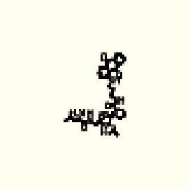 CC(C)C[C@H](NC(=O)CNC(=O)[C@@H](N)CC(C)C)C(=O)N1CCC[C@@H]1C(=O)NCCCNc1cccc2c1C(=O)c1ccccc1C2=O